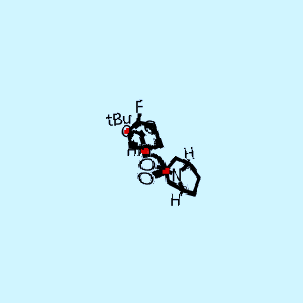 CC(C)(C)OC(=O)NCC(=O)N1[C@@H]2CC[C@H]1CC(Oc1ccc(F)cc1)C2